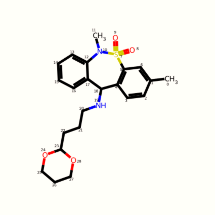 Cc1ccc2c(c1)S(=O)(=O)N(C)c1ccccc1C2NCCCC1OCCCO1